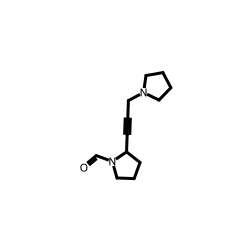 O=CN1CCCC1C#CCN1CCCC1